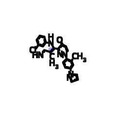 C/C(C=N)=C(/Nc1cccc(Cl)c1)c1nn(-c2ccc(-n3cccn3)cc2C)ccc1=O